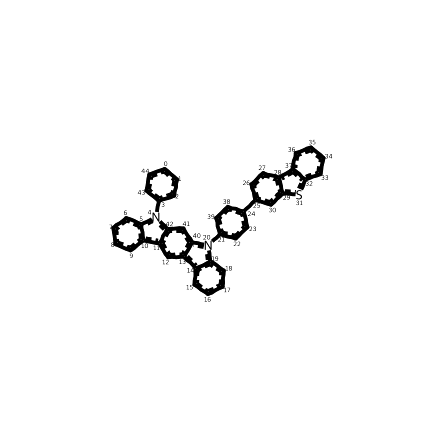 c1ccc(-n2c3ccccc3c3cc4c5ccccc5n(-c5ccc(-c6ccc7c(c6)sc6ccccc67)cc5)c4cc32)cc1